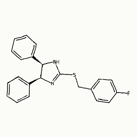 Fc1ccc(CSC2=N[C@@H](c3ccccc3)[C@@H](c3ccccc3)N2)cc1